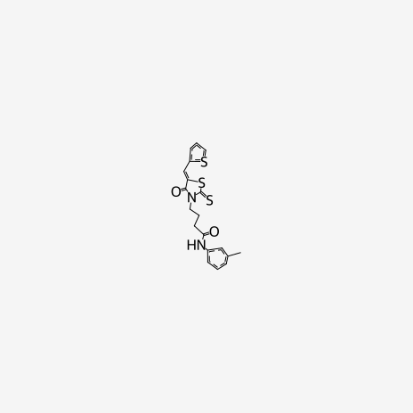 Cc1cccc(NC(=O)CCCN2C(=O)/C(=C/c3cccs3)SC2=S)c1